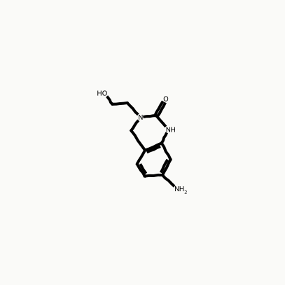 Nc1ccc2c(c1)NC(=O)N(CCO)C2